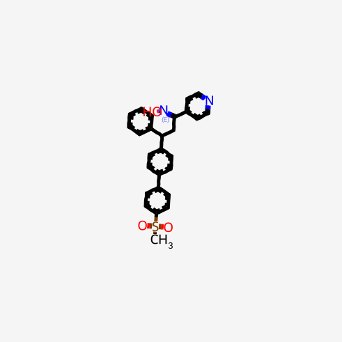 CS(=O)(=O)c1ccc(-c2ccc(C(C/C(=N\O)c3ccncc3)c3ccccc3)cc2)cc1